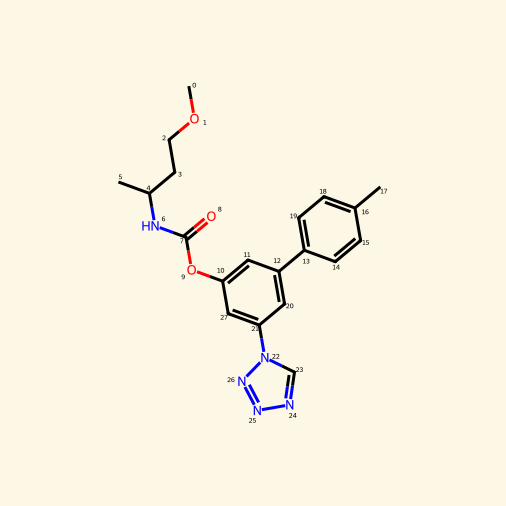 COCCC(C)NC(=O)Oc1cc(-c2ccc(C)cc2)cc(-n2cnnn2)c1